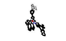 CC(C)(C)c1ccc(-c2ccc(-c3ccc(N(c4ccc5c(c4)-c4cc6ccccc6cc4C5(C)C)c4ccc5ccccc5c4-c4cccc5c4-c4ccccc4C5(C)C)cc3)cc2)cc1